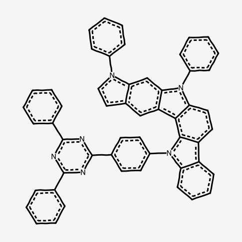 c1ccc(-c2nc(-c3ccccc3)nc(-c3ccc(-n4c5ccccc5c5ccc6c(c7cc8ccn(-c9ccccc9)c8cc7n6-c6ccccc6)c54)cc3)n2)cc1